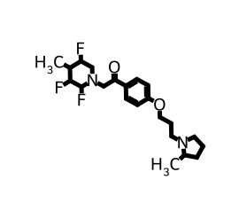 CC1C(F)CN(CC(=O)c2ccc(OCCCN3CCCC3C)cc2)C(F)C1F